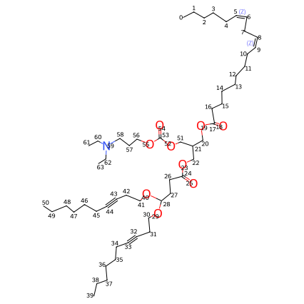 CCCCC/C=C\C/C=C\CCCCCCCC(=O)OCC(COC(=O)CCC(OCCC#CCCCCCC)OCCC#CCCCCCC)COC(=O)OCCCN(CC)CC